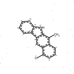 Cc1c2ccnc(Cl)c2cc2c1[nH]c1ncccc12